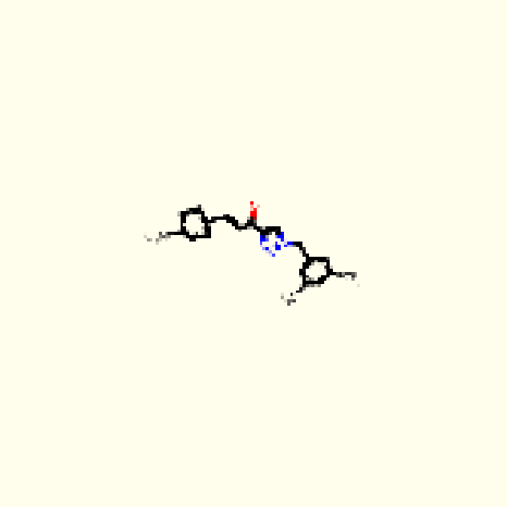 O=C(/C=C/c1ccc([N+](=O)[O-])cc1)c1cn(Cc2cc(C(F)(F)F)cc(C(F)(F)F)c2)nn1